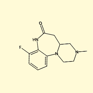 CN1CCN2c3cccc(F)c3NC(=O)CC2C1